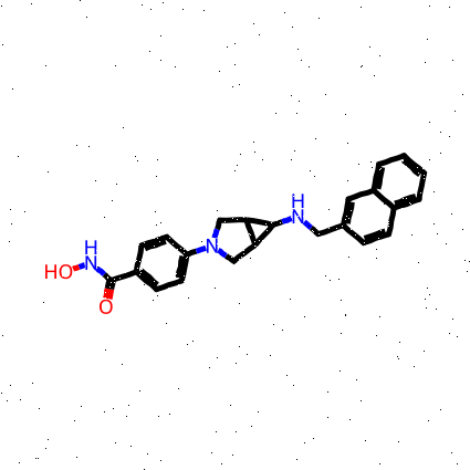 O=C(NO)c1ccc(N2CC3C(C2)C3NCc2ccc3ccccc3c2)cc1